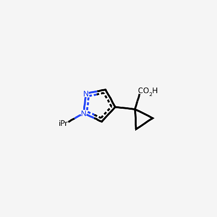 CC(C)n1cc(C2(C(=O)O)CC2)cn1